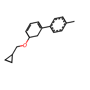 Cc1ccc(C2=CC=CC(OCC3CC3)C2)cc1